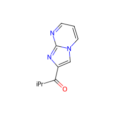 CC(C)C(=O)c1cn2cccnc2n1